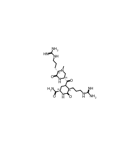 CN1C[C@H](C(=O)C2C[C@H](C(N)=O)NC(=O)[C@@H]2CCCNC(=N)N)NC(=O)[C@@H]1CCCNC(=N)N